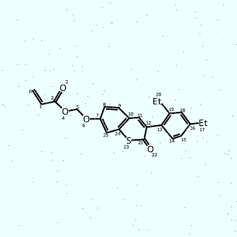 C=CC(=O)OCOc1ccc2cc(-c3ccc(CC)cc3CC)c(=O)sc2c1